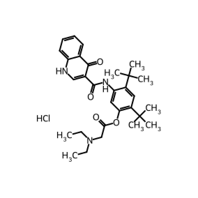 CCN(CC)CC(=O)Oc1cc(NC(=O)c2c[nH]c3ccccc3c2=O)c(C(C)(C)C)cc1C(C)(C)C.Cl